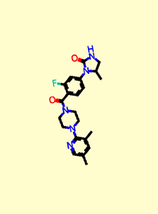 Cc1cnc(N2CCN(C(=O)c3ccc(N4C(=O)NCC4C)cc3F)CC2)c(C)c1